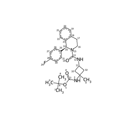 CC1(NC(=O)OC(C)(C)C)CC(NC(=O)N2CCc3ccccc3[C@@H]2c2ccc(F)cc2)C1